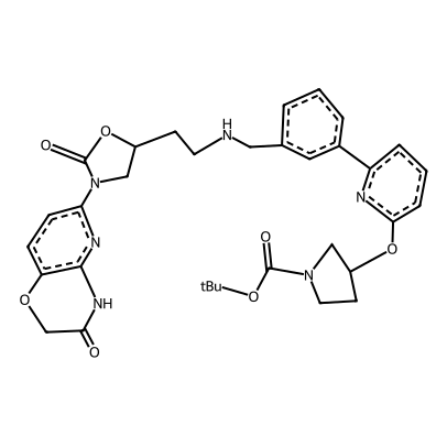 CC(C)(C)OC(=O)N1CCC(Oc2cccc(-c3cccc(CNCCC4CN(c5ccc6c(n5)NC(=O)CO6)C(=O)O4)c3)n2)C1